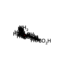 CC(C)(COP(=O)(O)OP(=O)(O)OC[C@H]1O[C@@H](n2cnc3c(N)ncnc32)[C@H](O)[C@@H]1OP(=O)(O)O)C(O)C(=O)NCCC(=O)NCCSC(=O)C(O)CCCC(=O)O